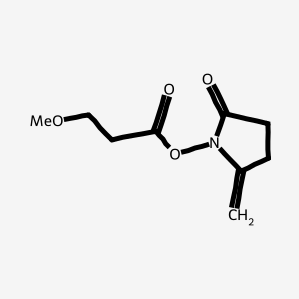 C=C1CCC(=O)N1OC(=O)CCOC